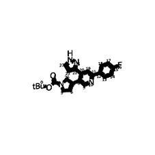 CC(C)(C)OC(=O)N1CC=C(c2cnc(-c3ccc(F)cc3)cc2-c2cc[nH]n2)C1